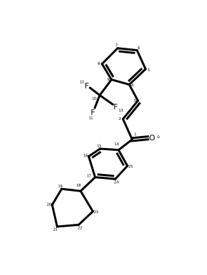 O=C(C=Cc1ccccc1C(F)(F)F)c1ccc(C2CCCCC2)cc1